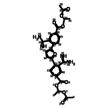 CC(=O)OC(C)OC(=O)c1ccc(-c2ccc(-c3ccc(C(=O)OC(C)OC(C)=O)cc3C(=N)N)o2)c(C(=N)N)c1